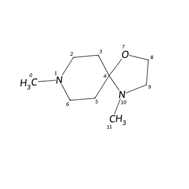 CN1CCC2(CC1)OCCN2C